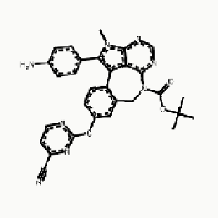 Cn1c(-c2ccc(N)cc2)c2c3c(ncnc31)N(C(=O)OC(C)(C)C)Cc1cc(Oc3nccc(C#N)n3)ccc1-2